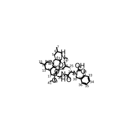 CNC(=O)[C@H](CC(C)C)NC(=O)C(CC(C)C)CP(=O)(CNC(=O)[C@H](CC(C)C)N(Cc1ccccc1)C(=O)O)OC